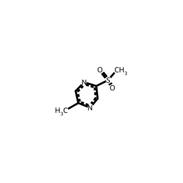 Cc1cnc(S(C)(=O)=O)cn1